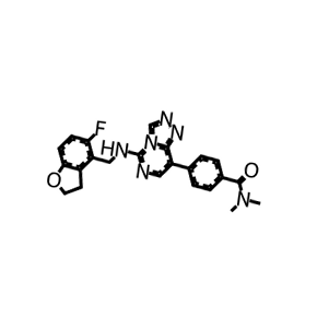 CN(C)C(=O)c1ccc(-c2cnc(NCc3c(F)ccc4c3CCO4)n3cnnc23)cc1